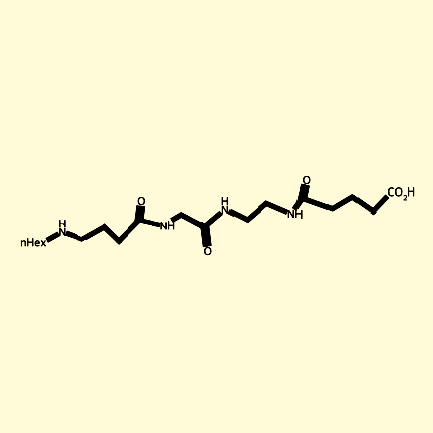 CCCCCCNCCCC(=O)NCC(=O)NCCNC(=O)CCCC(=O)O